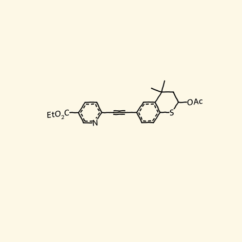 CCOC(=O)c1ccc(C#Cc2ccc3c(c2)C(C)(C)CC(OC(C)=O)S3)nc1